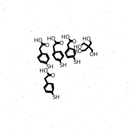 O=C(O)Cc1ccc(S)cc1.O=C(O)Cc1ccc(S)cc1.O=C(O)Cc1ccc(S)cc1.O=C(O)Cc1ccc(S)cc1.OCC(CO)(CO)CO